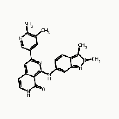 Cc1cc(-c2cc3cc[nH]c(=O)c3c(Nc3ccc4c(C)n(C)nc4c3)n2)cnc1N